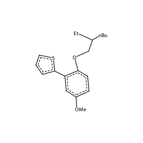 CCCCC(CC)COc1ccc(OC)cc1-c1cccs1